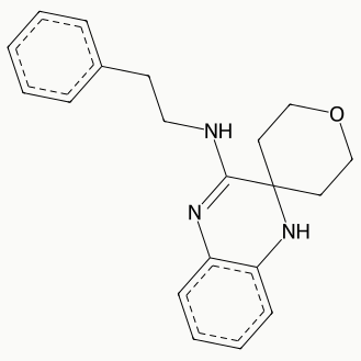 c1ccc(CCNC2=Nc3ccccc3NC23CCOCC3)cc1